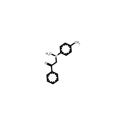 Cc1ccc([S+](C)CC(=O)c2ccccc2)cc1